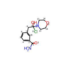 NC(=O)c1cccc(CC(O)(Cl)N2CCOCC2)c1